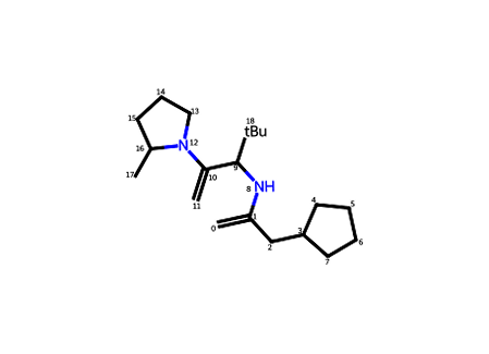 C=C(CC1CCCC1)NC(C(=C)N1CCCC1C)C(C)(C)C